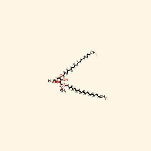 CCCCCCCCCCCCCCCCCCO[C@H](COC)[C@@H](O)[C@H](O)[C@@H](COC)OCCCCCCCCCCCCCCCCCC